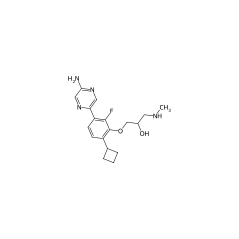 CNCC(O)COc1c(C2CCC2)ccc(-c2cnc(N)cn2)c1F